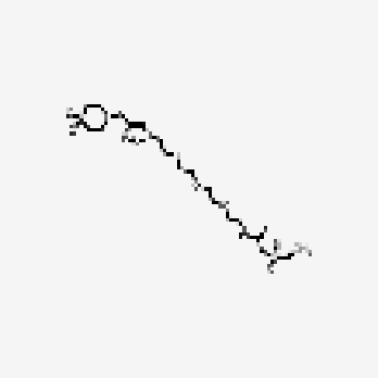 C=CS(=O)(=O)CC(=O)NCCOCCOCCOCCn1cc(CN2CCS(=O)(=O)CC2)nn1